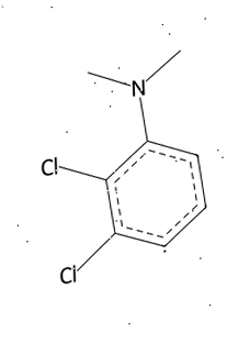 CN(C)c1cc[c]c(Cl)c1Cl